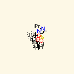 [2H]C([2H])([2H])C([2H])([2H])OP(=S)(Oc1cc(C)nc(C(C)C)n1)OC([2H])([2H])C([2H])([2H])[2H]